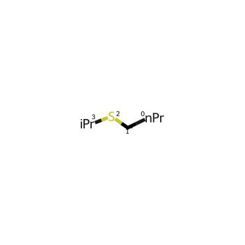 [CH2]CC[CH]SC(C)C